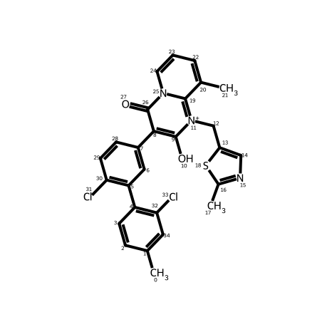 Cc1ccc(-c2cc(-c3c(O)[n+](Cc4cnc(C)s4)c4c(C)cccn4c3=O)ccc2Cl)c(Cl)c1